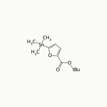 CC(C)(C)OC(=O)c1cc[c]([Sn]([CH3])([CH3])[CH3])o1